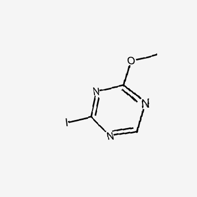 COc1ncnc(I)n1